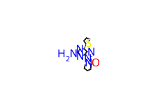 Nc1nc(-c2cccs2)c2ncn(-n3ccccc3=O)c2n1